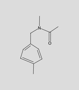 CC(=O)N(C)Cc1ccc(C)cc1